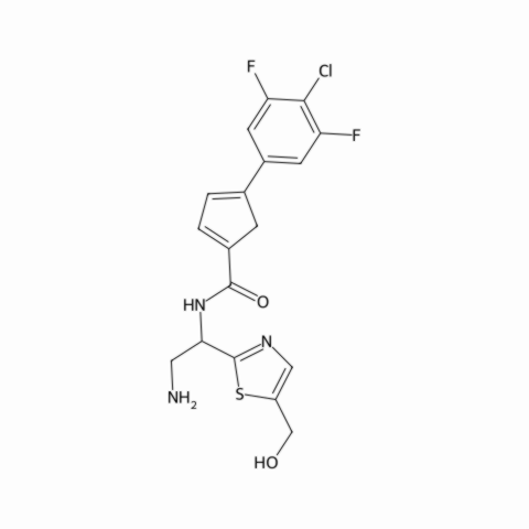 NCC(NC(=O)C1=CC=C(c2cc(F)c(Cl)c(F)c2)C1)c1ncc(CO)s1